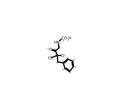 O=C(O)NCC(=O)C(Cl)(Cl)Cc1ccccc1